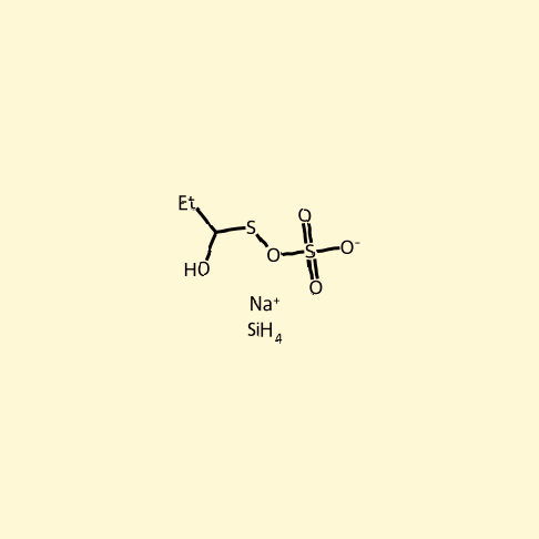 CCC(O)SOS(=O)(=O)[O-].[Na+].[SiH4]